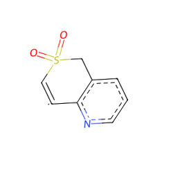 O=S1(=O)C=[C]c2ncccc2C1